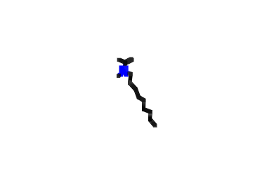 C=C(C)N(C)CCCCCCCCC